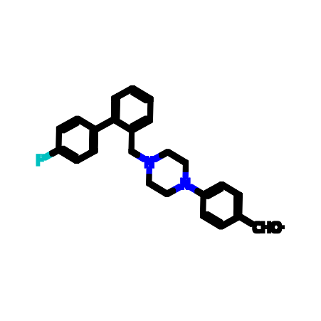 O=[C]c1ccc(N2CCN(Cc3ccccc3-c3ccc(F)cc3)CC2)cc1